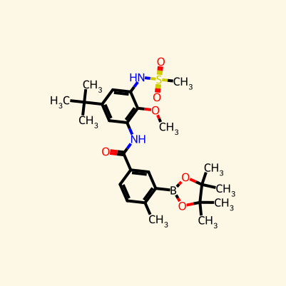 COc1c(NC(=O)c2ccc(C)c(B3OC(C)(C)C(C)(C)O3)c2)cc(C(C)(C)C)cc1NS(C)(=O)=O